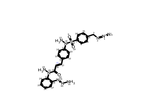 [N-]=[N+]=NCc1ccc(S(=O)(=O)N(N)c2ccc(/C=C/C(=O)N(N)c3ccccc3N=NN)cc2)cc1